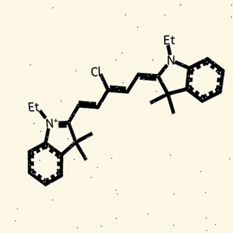 CCN1/C(=C/C=C(Cl)/C=C/C2=[N+](CC)c3ccccc3C2(C)C)C(C)(C)c2ccccc21